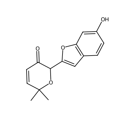 CC1(C)C=CC(=O)C(c2cc3ccc(O)cc3o2)O1